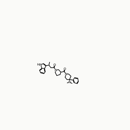 CC(CC(=O)N1CCCC(C(=O)N2CCC(c3ccccc3)(N(C)C)CC2)C1)c1c[nH]c2ccccc12